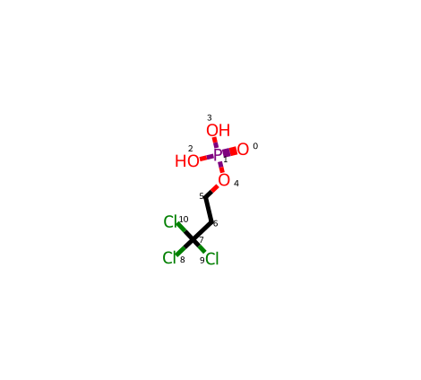 O=P(O)(O)OCCC(Cl)(Cl)Cl